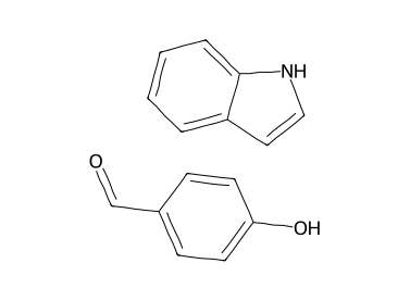 O=Cc1ccc(O)cc1.c1ccc2[nH]ccc2c1